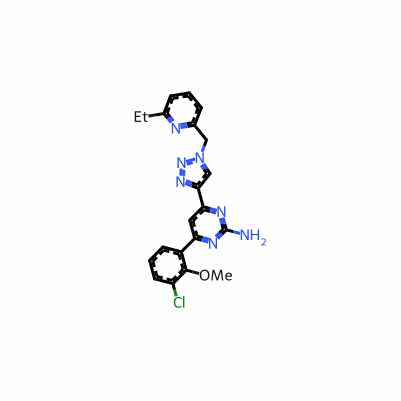 CCc1cccc(Cn2cc(-c3cc(-c4cccc(Cl)c4OC)nc(N)n3)nn2)n1